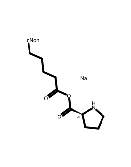 CCCCCCCCCCCCCC(=O)OC(=O)[C@@H]1CCCN1.[Na]